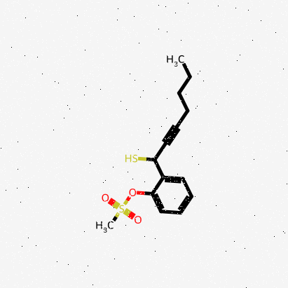 CCCCC#CC(S)c1ccccc1OS(C)(=O)=O